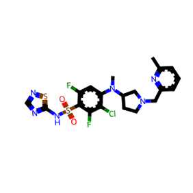 Cc1cccc(CN2CCC(N(C)c3cc(F)c(S(=O)(=O)Nc4ncns4)c(F)c3Cl)C2)n1